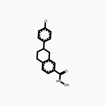 O=C(NO)c1ccc2c(c1)CC(c1ccc(Cl)cc1)CC2